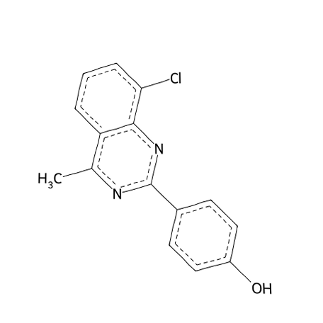 Cc1nc(-c2ccc(O)cc2)nc2c(Cl)cccc12